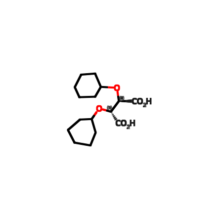 O=C(O)[C@H](OC1CCCCC1)[C@@H](OC1CCCCC1)C(=O)O